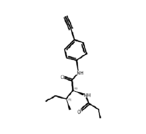 C#Cc1ccc(NC(=O)[C@@H](NC(=O)CC)[C@@H](C)CC)cc1